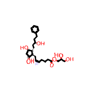 O=C(CCC/C=C\C[C@@H]1[C@@H](CC[C@@H](O)CCc2ccccc2)[C@H](O)C[C@@H]1O)OCC(O)CO